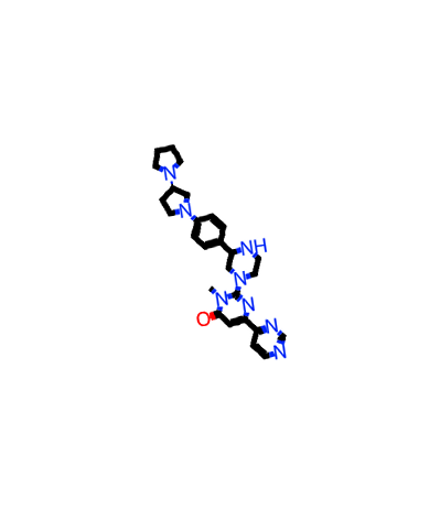 Cn1c(N2CCNC(c3ccc(N4CC[C@H](N5CCCC5)C4)cc3)C2)nc(-c2ccncn2)cc1=O